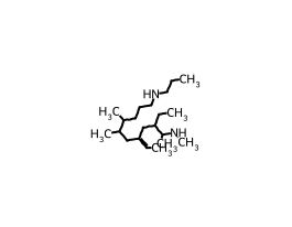 C/C=C(/CC(C)C(C)CCCNCCC)CC(CC)C(C)NC